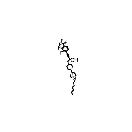 CCCCCCC[Si@H]1CC[C@H]([C@H]2CC[C@H](CC(O)C#Cc3ccc(C(F)(F)F)c(F)c3F)CC2)CC1